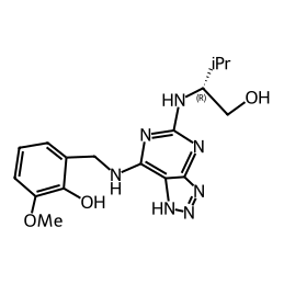 COc1cccc(CNc2nc(N[C@@H](CO)C(C)C)nc3nn[nH]c23)c1O